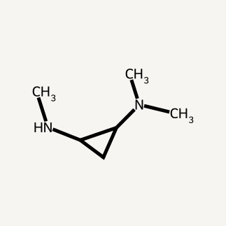 CNC1CC1N(C)C